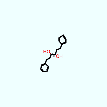 O[C@H](CCc1ccccc1)[C@H](O)CCc1ccccc1